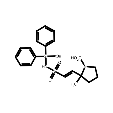 CC1(C=CS(=O)(=O)N[Si](c2ccccc2)(c2ccccc2)C(C)(C)C)CCCN1C(=O)O